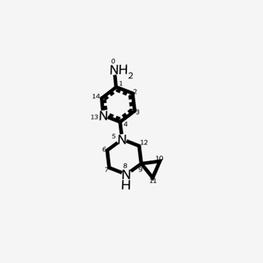 Nc1ccc(N2CCNC3(CC3)C2)nc1